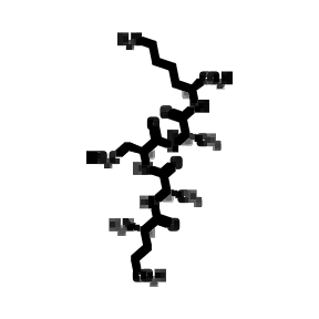 C[C@H](NC(=O)[C@H](CC(=O)O)NC(=O)[C@H](C)NC(=O)[C@@H](N)CCC(=O)O)C(=O)N[C@@H](CCCCN)C(=O)O